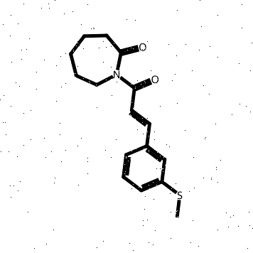 CSc1cccc(/C=C/C(=O)N2CCCCCC2=O)c1